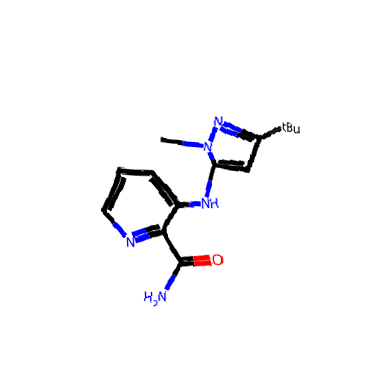 Cn1nc(C(C)(C)C)cc1Nc1cccnc1C(N)=O